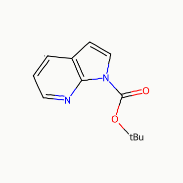 CC(C)(C)OC(=O)n1ccc2[c]ccnc21